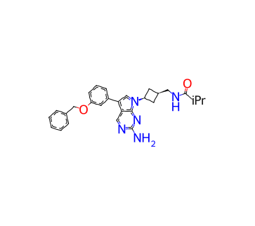 CC(C)C(=O)NC[C@H]1C[C@@H](n2cc(-c3cccc(OCc4ccccc4)c3)c3cnc(N)nc32)C1